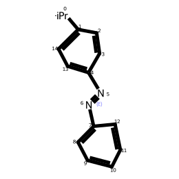 C[C](C)c1ccc(/N=N/c2ccccc2)cc1